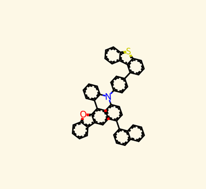 c1ccc(N(c2ccc(-c3cccc4ccccc34)cc2)c2ccc(-c3cccc4sc5ccccc5c34)cc2)c(-c2cccc3c2oc2ccccc23)c1